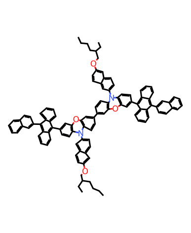 CCCCC(CC)COc1ccc2cc(N3c4ccc(-c5ccc6c(c5)Oc5cc(-c7c8ccccc8c(-c8ccc9ccccc9c8)c8ccccc78)ccc5N6c5ccc6cc(OCC(CC)CCCC)ccc6c5)cc4Oc4cc(-c5c6ccccc6c(-c6ccc7ccccc7c6)c6ccccc56)ccc43)ccc2c1